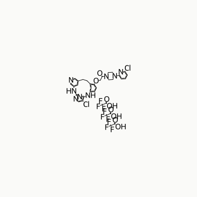 O=C(COc1ccc2cc1CCc1cncc(c1)Nc1ncc(Cl)c(n1)N2)N1CCN(c2cccc(Cl)n2)CC1.O=C(O)C(F)(F)F.O=C(O)C(F)(F)F.O=C(O)C(F)(F)F